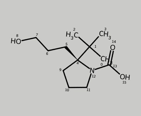 CC(C)(C)[C@@]1(CCCO)CCCN1C(=O)O